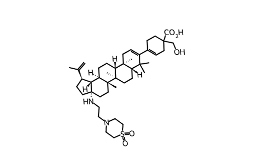 C=C(C)[C@@H]1CC[C@]2(NCCN3CCS(=O)(=O)CC3)CC[C@]3(C)[C@H](CC[C@@H]4[C@@]5(C)CC=C(C6=CCC(CO)(C(=O)O)CC6)C(C)(C)[C@@H]5CC[C@]43C)[C@@H]12